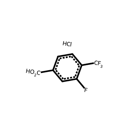 Cl.O=C(O)c1ccc(C(F)(F)F)c(F)c1